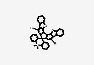 C[Si]1(C)c2ccccc2C2(c3ccccc31)c1cc(Br)c3c(oc4ccccc43)c1-c1c2cc(Br)c2c1oc1ccccc12